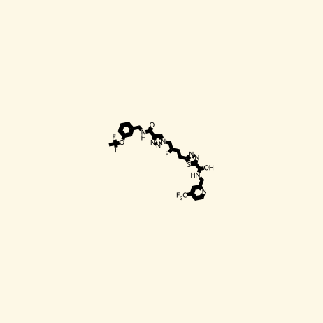 CC(F)(F)Oc1cccc(CNC(=O)c2cn(CC(F)CCc3nnc(C(O)NCc4cc(C(F)(F)F)ccn4)s3)nn2)c1